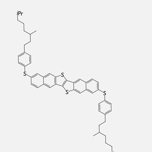 CC(C)CCCC(C)CCc1ccc(Sc2ccc3cc4c(cc3c2)sc2c3cc5ccc(Sc6ccc(CCC(C)CCCC(C)C)cc6)cc5cc3sc42)cc1